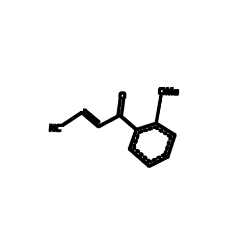 COc1ccccc1C(=O)C=CC#N